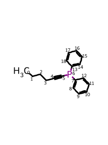 CCCCC#CP(c1ccccc1)c1ccccc1